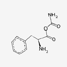 NC(=O)OC(=O)[C@@H](N)Cc1ccccc1